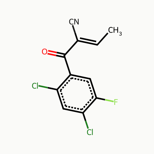 CC=C(C#N)C(=O)c1cc(F)c(Cl)cc1Cl